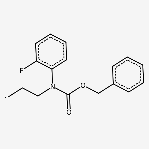 [CH2]CCN(C(=O)OCc1ccccc1)c1ccccc1F